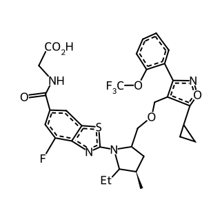 CCC1[C@H](C)CC(COCc2c(-c3ccccc3OC(F)(F)F)noc2C2CC2)N1c1nc2c(F)cc(C(=O)NCC(=O)O)cc2s1